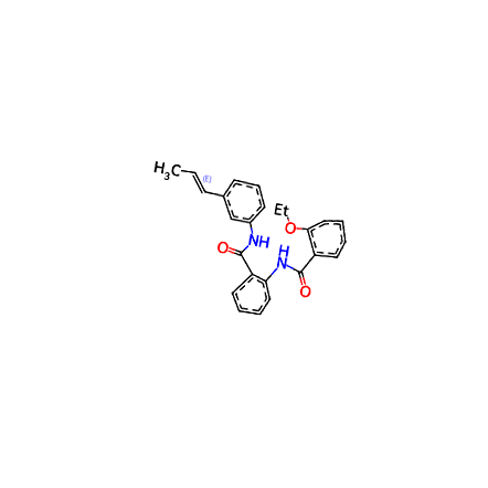 C/C=C/c1cccc(NC(=O)c2ccccc2NC(=O)c2ccccc2OCC)c1